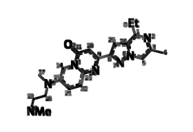 CCc1nc(C)cn2nc(-c3cc(=O)n4cc(N(C)CCNC)ccc4n3)cc12